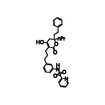 CCCC1(CCc2ccccc2)CC(O)=C(CCCc2cccc(NS(=O)(=O)c3ccccn3)c2)C(=O)O1